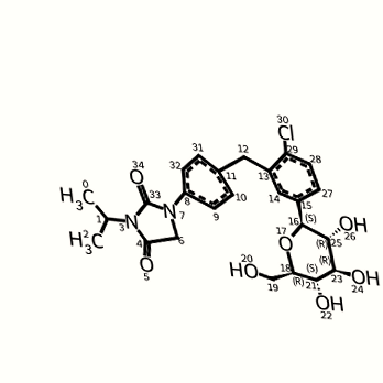 CC(C)N1C(=O)CN(c2ccc(Cc3cc([C@@H]4O[C@H](CO)[C@@H](O)[C@H](O)[C@H]4O)ccc3Cl)cc2)C1=O